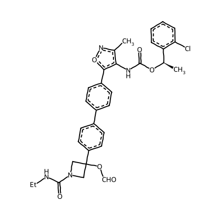 CCNC(=O)N1CC(OC=O)(c2ccc(-c3ccc(-c4onc(C)c4NC(=O)O[C@H](C)c4ccccc4Cl)cc3)cc2)C1